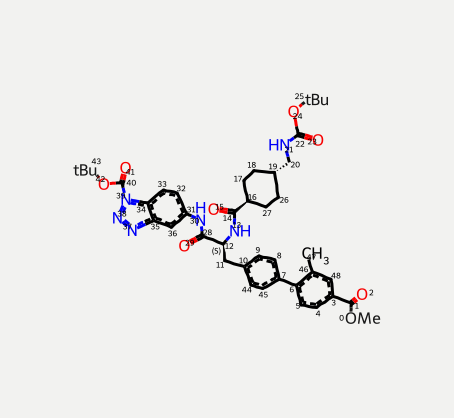 COC(=O)c1ccc(-c2ccc(C[C@H](NC(=O)[C@H]3CC[C@H](CNC(=O)OC(C)(C)C)CC3)C(=O)Nc3ccc4c(c3)nnn4C(=O)OC(C)(C)C)cc2)c(C)c1